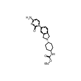 CC(C)(C)OC(=O)N[C@H]1CC[C@H](N2Cc3ccc(-n4ccc(N)nc4=O)cc3C2)CC1